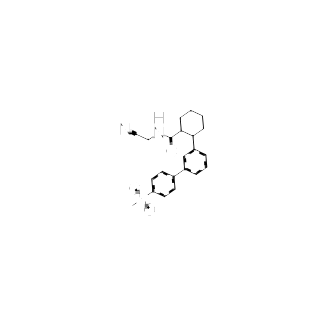 CS(=O)(=O)c1ccc(-c2cccc(C3CCCCC3C(=O)NCC#N)c2)cc1